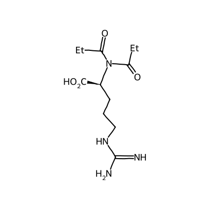 CCC(=O)N(C(=O)CC)[C@@H](CCCNC(=N)N)C(=O)O